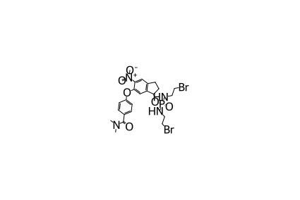 CN(C)C(=O)c1ccc(Oc2cc3c(cc2[N+](=O)[O-])CCC3OP(=O)(NCCBr)NCCBr)cc1